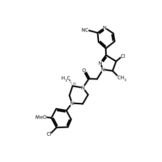 COc1cc(N2CCN(C(=O)CN3N=C(c4ccnc(C#N)c4)C(Cl)C3C)[C@@H](C)C2)ccc1Cl